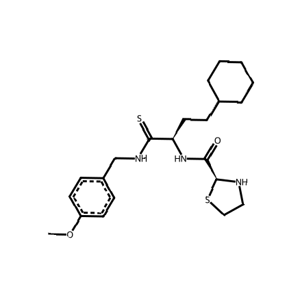 COc1ccc(CNC(=S)[C@@H](CCC2CCCCC2)NC(=O)[C@H]2NCCS2)cc1